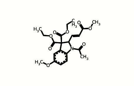 CCOC(=O)C1(C(=O)OCC)c2cc(OC)ccc2N(C(C)=O)C1C=CC(=O)OC